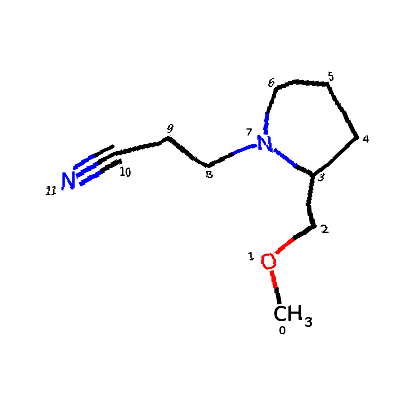 COCC1CCCN1CCC#N